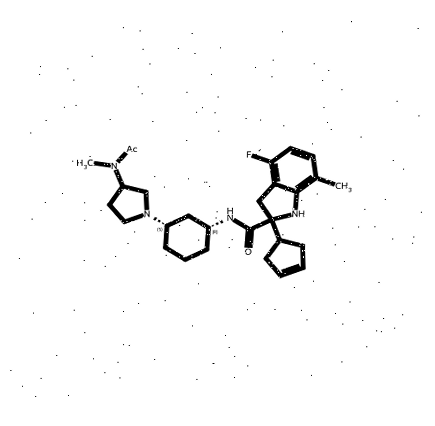 CC(=O)N(C)C1CCN([C@H]2CCC[C@@H](NC(=O)C3(C4CC=CC4)Cc4c(F)ccc(C)c4N3)C2)C1